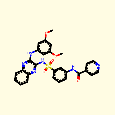 COc1cc(Nc2nc3ccccc3nc2NS(=O)(=O)c2cccc(NC(=O)c3ccncc3)c2)cc(OC)c1